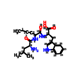 CCCC[C@H](NC(=O)[C@H](N)CC(C)C)C(=O)N[C@H](Cc1c[nH]c2ccccc12)C(=O)O